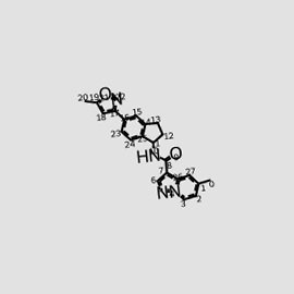 Cc1ccn2ncc(C(=O)N[C@@H]3CCc4cc(-c5cc(C)on5)ccc43)c2c1